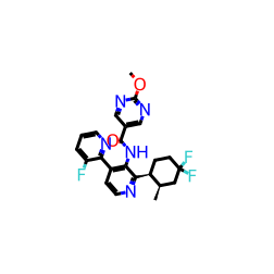 COc1ncc(C(=O)Nc2c(-c3ncccc3F)ccnc2[C@H]2CCC(F)(F)C[C@H]2C)cn1